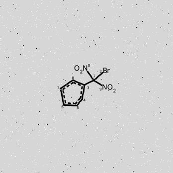 O=[N+]([O-])C(Br)(c1ccccc1)[N+](=O)[O-]